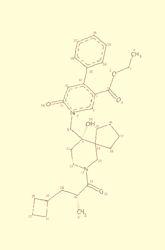 CCOC(=O)c1cn(C[C@]2(O)CCN(C(=O)[C@H](C)CC3CCC3)CC23CCCC3)c(=O)cc1-c1ccccc1